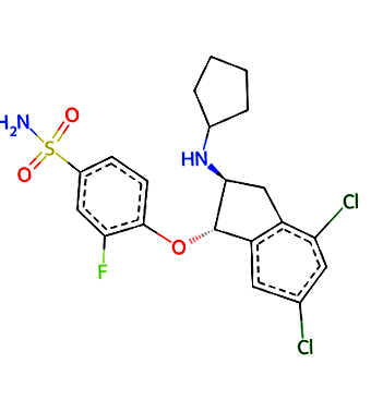 NS(=O)(=O)c1ccc(O[C@H]2c3cc(Cl)cc(Cl)c3C[C@@H]2NC2CCCC2)c(F)c1